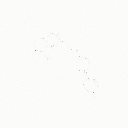 CN1C(=O)CCc2cc(Cl)c(OCCN3CCN(c4ccc(Cl)cc4)CC3)cc21